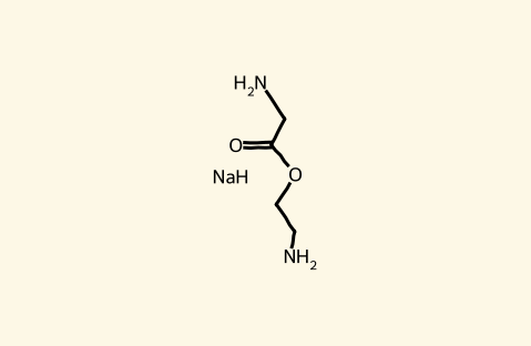 NCCOC(=O)CN.[NaH]